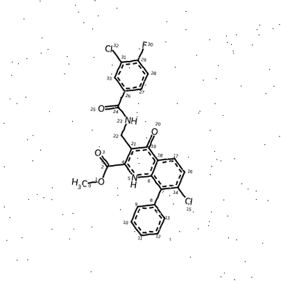 COC(=O)c1[nH]c2c(-c3ccccc3)c(Cl)ccc2c(=O)c1CNC(=O)c1ccc(F)c(Cl)c1